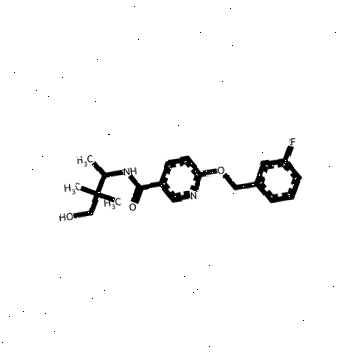 CC(NC(=O)c1ccc(OCc2cccc(F)c2)nc1)C(C)(C)CO